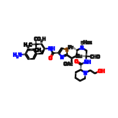 CCCCCCN(CC(C=O)(NC(=O)[C@H]1CCCCN1CCO)[C@@H](C)CC)[C@H](C[C@@H](OC(C)=O)c1nc(C(=O)N[C@@H](Cc2ccc(N)cc2)CC(C)(C)C(=O)O)cs1)C(C)C